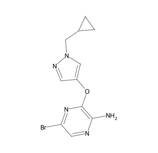 Nc1ncc(Br)nc1Oc1cnn(CC2CC2)c1